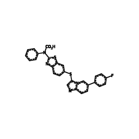 O=C(O)N(c1ccccc1)c1nc2ccc(Sc3cnc4ccc(-c5ccc(F)cc5)cn34)cc2s1